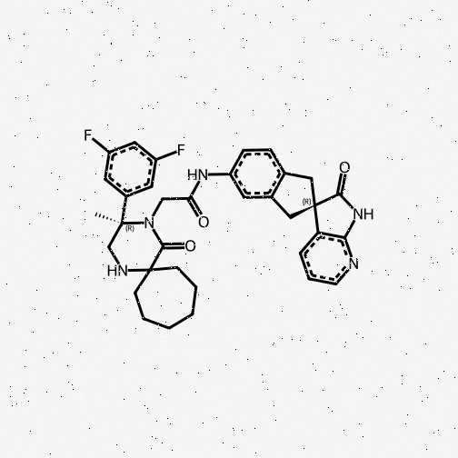 C[C@@]1(c2cc(F)cc(F)c2)CNC2(CCCCCC2)C(=O)N1CC(=O)Nc1ccc2c(c1)C[C@@]1(C2)C(=O)Nc2ncccc21